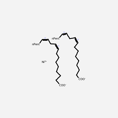 CCCCC/C=C\C/C=C\CCCCCCCC(=O)[O-].CCCCC/C=C\C/C=C\CCCCCCCC(=O)[O-].[Ni+2]